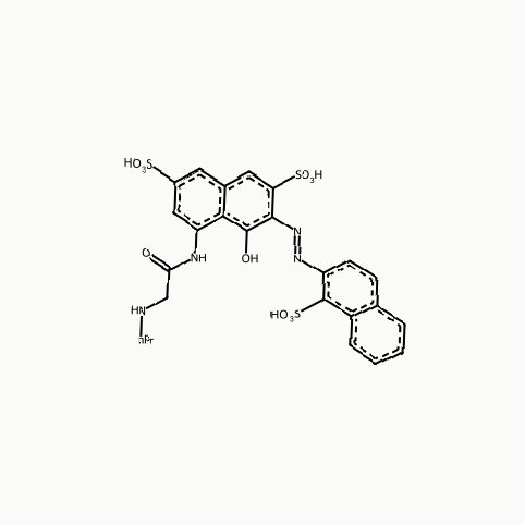 CCCNCC(=O)Nc1cc(S(=O)(=O)O)cc2cc(S(=O)(=O)O)c(N=Nc3ccc4ccccc4c3S(=O)(=O)O)c(O)c12